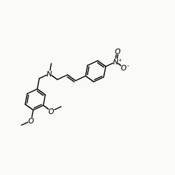 COc1ccc(CN(C)CC=Cc2ccc([N+](=O)[O-])cc2)cc1OC